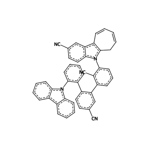 N#Cc1ccc(-c2ccccc2-n2c3ccccc3c3ccccc32)c(-c2cccc(-n3c4c(c5cc(C#N)ccc53)C=CC=CC4)c2C#N)c1